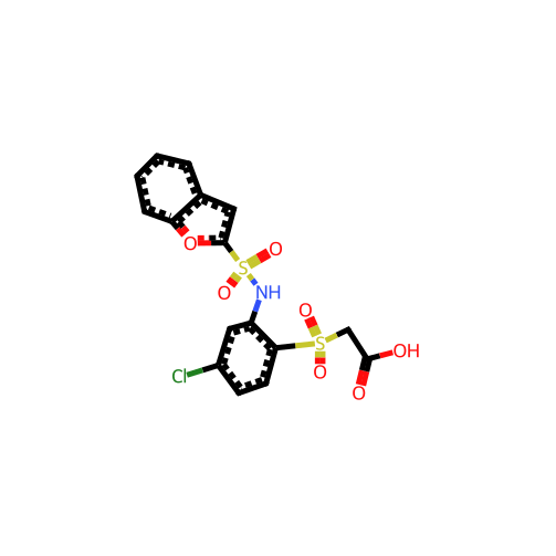 O=C(O)CS(=O)(=O)c1ccc(Cl)cc1NS(=O)(=O)c1cc2ccccc2o1